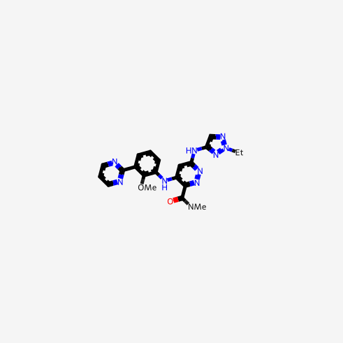 CCn1ncc(Nc2cc(Nc3cccc(-c4ncccn4)c3OC)c(C(=O)NC)nn2)n1